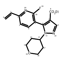 C=Cc1ccc(-c2c(C(=O)OCC)cnn2C2CCOCC2)c(F)n1